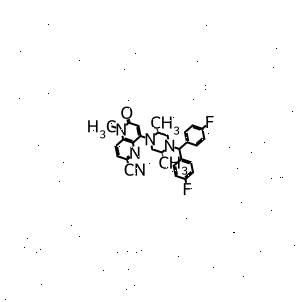 C[C@@H]1CN(C(c2ccc(F)cc2)c2ccc(F)cc2)[C@H](C)CN1c1cc(=O)n(C)c2ccc(C#N)nc12